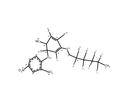 CC(F)(F)C(F)(F)C(F)(F)C(F)(F)COC1=C(F)C(F)(Oc2ccc([N+](=O)[O-])cc2[N+](=O)[O-])C(C#N)C(F)=C1F